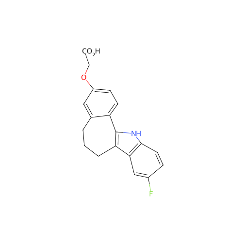 O=C(O)COc1ccc2c(c1)CCCc1c-2[nH]c2ccc(F)cc12